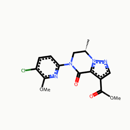 COC(=O)c1cnn2c1C(=O)N(c1ccc(Cl)c(OC)n1)C[C@@H]2C